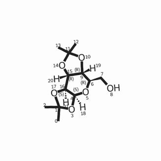 CC1(C)O[C@@H]2O[C@H](CO)[C@H]3OC(C)(C)O[C@H]3[C@@H]2O1